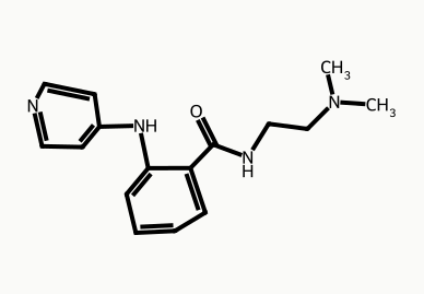 CN(C)CCNC(=O)c1ccccc1Nc1ccncc1